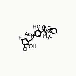 CC(=O)N(Cc1cc(F)cc(Cl)c1O)c1ccc(C(=O)OC2CC3CCC2(C)C3(C)C)c(O)c1